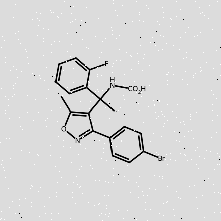 [CH2]C(NC(=O)O)(c1ccccc1F)c1c(-c2ccc(Br)cc2)noc1C